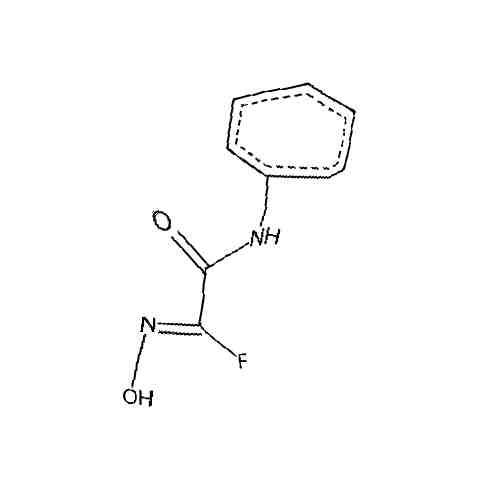 O=C(Nc1ccccc1)C(F)=NO